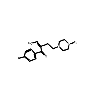 CCN1CCN(CCC(=CO)C(=O)c2ccc(F)cc2)CC1